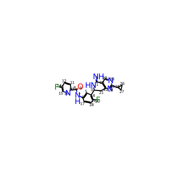 N=C1NC(c2cc(NC(=O)c3ccc(F)cn3)ccc2F)Cc2nc(C3CC3)ncc21